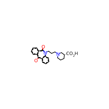 O=C(O)[C@@H]1CCCN(CCCn2c(=O)c3ccccc3c(=O)c3ccccc32)C1